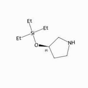 CC[Si](CC)(CC)O[C@@H]1CCNC1